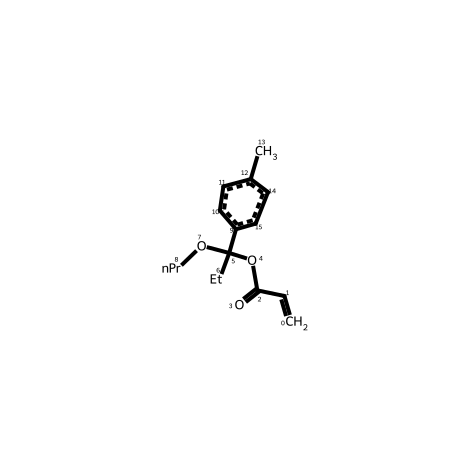 C=CC(=O)OC(CC)(OCCC)c1ccc(C)cc1